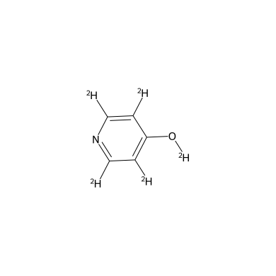 [2H]Oc1c([2H])c([2H])nc([2H])c1[2H]